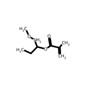 C=C(C)C(=O)OC(CC)[SiH2]OC